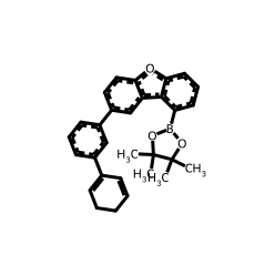 CC1(C)OB(c2cccc3oc4ccc(-c5cccc(C6=CCCC=C6)c5)cc4c23)OC1(C)C